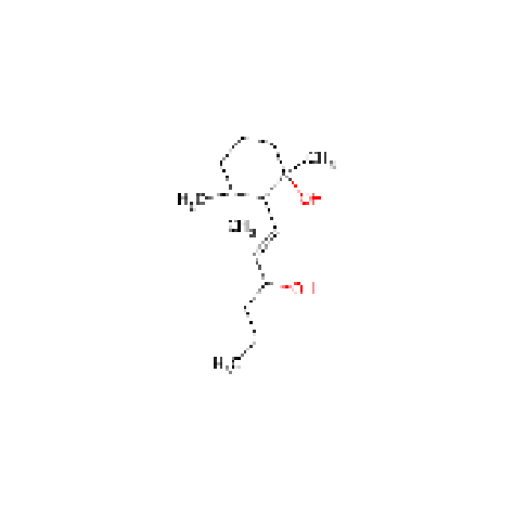 CCCC(O)C=CC1C(C)(C)CCCC1(C)O